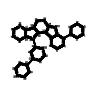 c1ccc(-c2cccc3c2sc2ccc4c5ncccc5n(-c5cc(-c6ccncc6)ccn5)c4c23)cc1